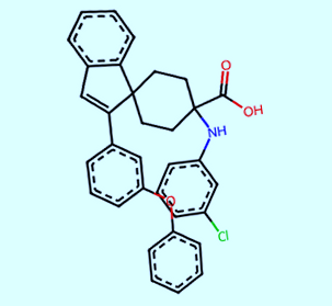 O=C(O)C1(Nc2cccc(Cl)c2)CCC2(CC1)C(c1cccc(Oc3ccccc3)c1)=Cc1ccccc12